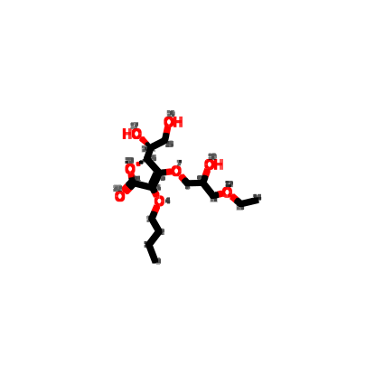 CCCCOC1=C(OCC(O)COCC)[C@@H]([C@@H](O)CO)OC1=O